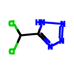 ClC(Cl)c1nnn[nH]1